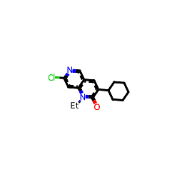 CCn1c(=O)c(C2CCCCC2)cc2cnc(Cl)cc21